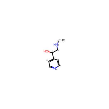 O=CNCC(O)c1ccncc1